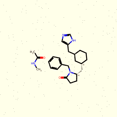 CNC(C)=O.O=C1CC[C@@H](C[C@H]2CCCC(Cc3cnc[nH]3)C2)N1Cc1ccccc1